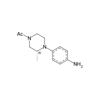 CC(=O)N1CCN(c2ccc(N)cc2)[C@H](C)C1